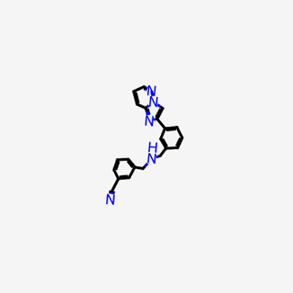 N#Cc1cccc(CNCc2cccc(-c3cn4ncccc4n3)c2)c1